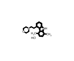 Cc1ccc(C)c2c1[nH]c1cccc(CCN3CCOCC3)c12.Cl